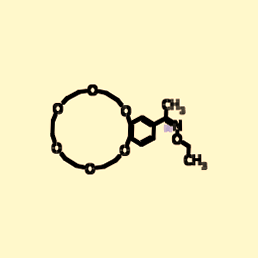 CCO/N=C(/C)c1ccc2c(c1)OCCOCCOCCOCCOCCO2